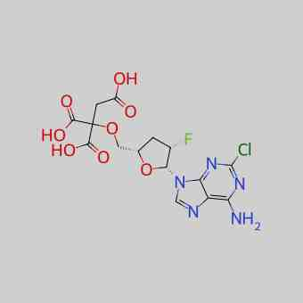 Nc1nc(Cl)nc2c1ncn2[C@@H]1O[C@H](COC(CC(=O)O)(C(=O)O)C(=O)O)C[C@@H]1F